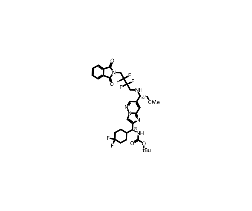 COC[C@@H](NCC(F)(F)C(F)(F)CN1C(=O)c2ccccc2C1=O)c1cnn2cc([C@@H](NC(=O)OC(C)(C)C)C3CCC(F)(F)CC3)nc2c1